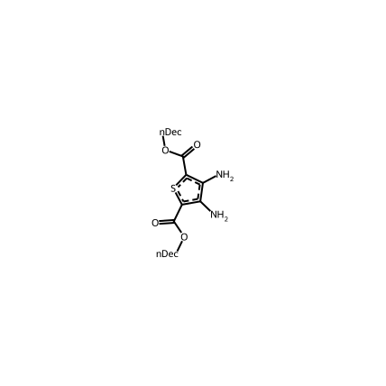 CCCCCCCCCCOC(=O)c1sc(C(=O)OCCCCCCCCCC)c(N)c1N